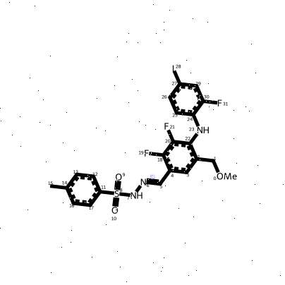 COCc1cc(/C=N/NS(=O)(=O)c2ccc(C)cc2)c(F)c(F)c1Nc1ccc(I)cc1F